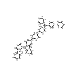 c1ccc(-c2ccc(-n3c4ccccc4c4cc(-c5ccc(-c6ccc7c(c6)c6ccccc6n7-c6cccc7c6sc6ccccc67)cc5)ccc43)cc2)cc1